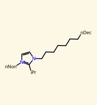 CCCCCCCCCCCCCCCCCn1cc[n+](CCCCCCCCC)c1C(C)C